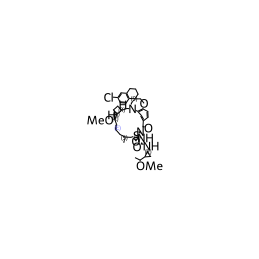 COC(C)C1C[C@H]1NC(=O)N[S@@]1(=O)=NC(=O)c2ccc3c(c2)N(C[C@@H]2CC[C@H]2[C@@H](OC)/C=C/C[C@H](C)C1)C[C@@]1(CCCc2cc(Cl)ccc21)CO3